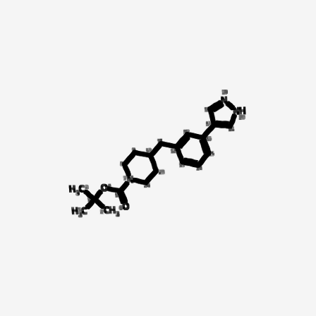 CC(C)(C)OC(=O)N1CCC(Cc2cccc(-c3cn[nH]c3)c2)CC1